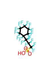 O=S(=O)(O)C(F)(F)C(F)(F)C(F)(F)C1(F)C(F)(F)C(F)(F)C(F)(F)C(F)(F)C1(F)F